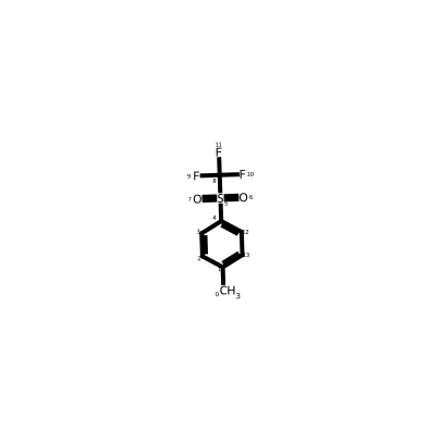 Cc1ccc(S(=O)(=O)C(F)(F)F)cc1